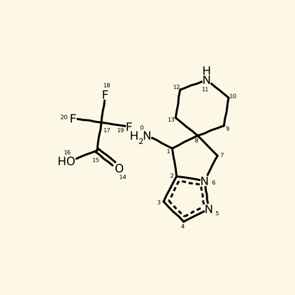 NC1c2ccnn2CC12CCNCC2.O=C(O)C(F)(F)F